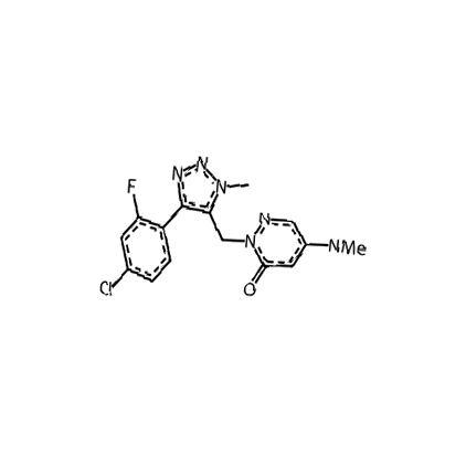 CNc1cnn(Cc2c(-c3ccc(Cl)cc3F)nnn2C)c(=O)c1